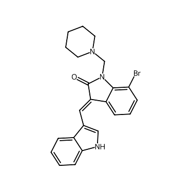 O=C1/C(=C/c2c[nH]c3ccccc23)c2cccc(Br)c2N1CN1CCCCC1